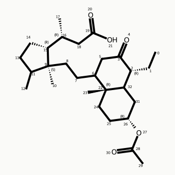 CC[C@H]1C(=O)CC(CC[C@@]2(C)C(C)CC[C@@H]2[C@H](C)CC(=O)O)[C@@]2(C)CC[C@@H](OC(C)=O)CC12